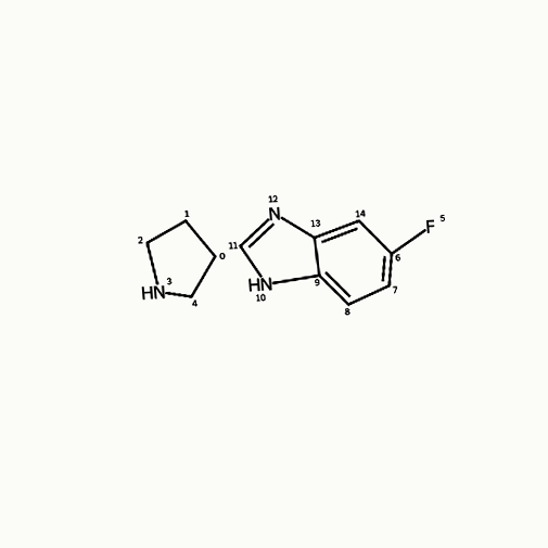 C1CCNC1.Fc1ccc2[nH]cnc2c1